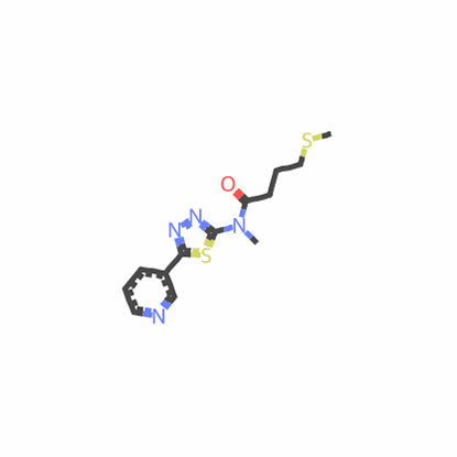 CSCCCC(=O)N(C)c1nnc(-c2cccnc2)s1